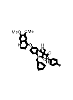 COc1cc2nccc(Oc3ccc(N(Cc4ccccc4)C(=O)C4(C(=O)Nc5ccc(F)cc5)CNC4)cc3)c2cc1OC